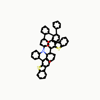 c1ccc(-c2ccccc2-c2ccccc2-c2ccc(N(c3ccccc3-c3cccc4c3sc3ccccc34)c3ccccc3-c3cccc4c3sc3ccccc34)cc2)cc1